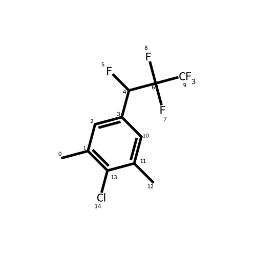 Cc1cc(C(F)C(F)(F)C(F)(F)F)cc(C)c1Cl